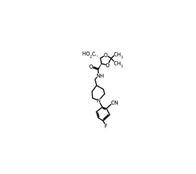 CC1(C)O[C@@H](C(=O)O)[C@H](C(=O)NCC2CCN(c3ccc(F)cc3C#N)CC2)O1